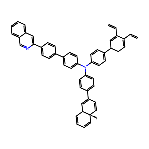 C=CC1=CCC(c2ccc(N(c3ccc(C4=CC5C=CC=C[C@H]5C=C4)cc3)c3ccc(-c4ccc(-c5cc6ccccc6cn5)cc4)cc3)cc2)C=C1C=C